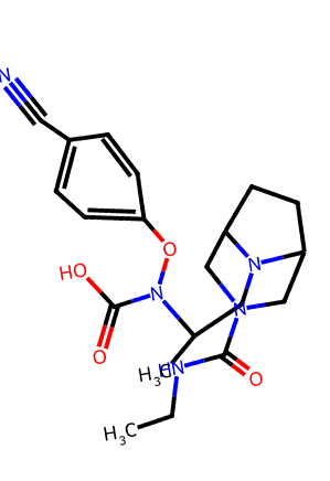 CCNC(=O)N1CC2CCC(C1)N2CC(C)N(Oc1ccc(C#N)cc1)C(=O)O